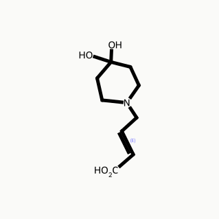 O=C(O)/C=C/CN1CCC(O)(O)CC1